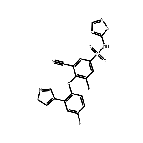 N#Cc1cc(S(=O)(=O)Nc2ncns2)cc(F)c1Oc1ccc(F)cc1-c1cn[nH]c1